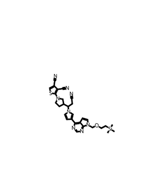 C[Si](C)(C)CCOCn1ccc2c(-c3ccn(C(CC#N)C4CCN(c5scc(C#N)c5C#N)C4)c3)ncnc21